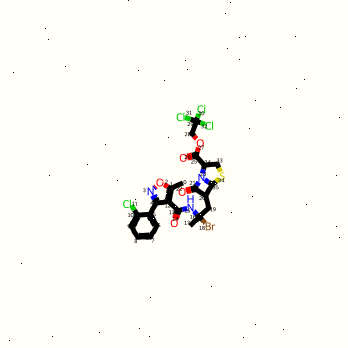 Cc1onc(-c2ccccc2Cl)c1C(=O)NC(C)(Br)CC1C(=O)N2C(C(=O)OCC(Cl)(Cl)Cl)CSC12